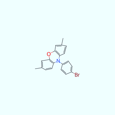 Cc1ccc2c(c1)Oc1cc(C)ccc1N2c1ccc(Br)cc1